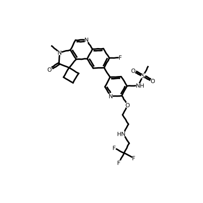 CN1C(=O)C2(CCC2)c2c1cnc1cc(F)c(-c3cnc(OCCNCC(F)(F)F)c(NS(C)(=O)=O)c3)cc21